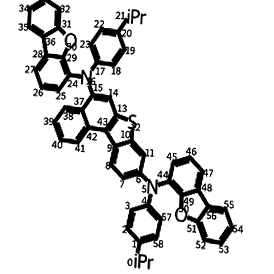 CC(C)c1ccc(N(c2ccc3c(c2)sc2cc(N(c4ccc(C(C)C)cc4)c4cccc5c4oc4ccccc45)c4ccccc4c23)c2cccc3c2oc2ccccc23)cc1